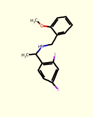 COc1ccccc1CNC(C)c1ccc(I)cc1I